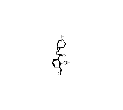 O=Cc1cccc(C(=O)ON2CCNCC2)c1O